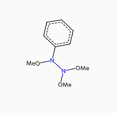 CON(OC)N(OC)c1ccccc1